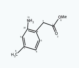 COC(=O)Cc1ccc(C)cc1N